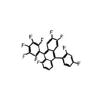 Fc1ccc(-c2c3cc(F)c(F)cc3c(-c3c(F)c(F)c(F)c(F)c3F)c3c(F)cccc23)c(F)c1